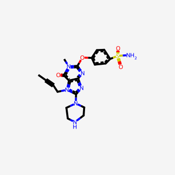 CC#CCn1c(N2CCNCC2)nc2nc(Oc3ccc(S(N)(=O)=O)cc3)n(C)c(=O)c21